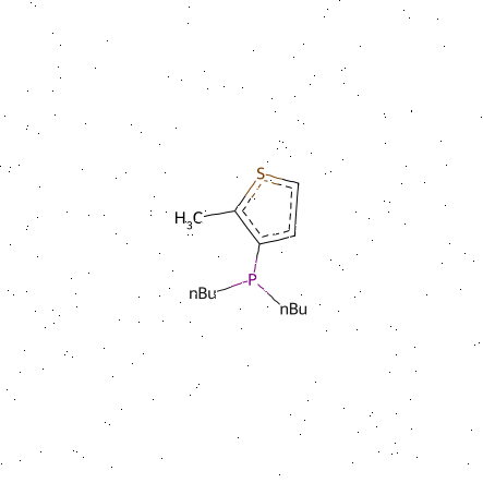 CCCCP(CCCC)c1ccsc1C